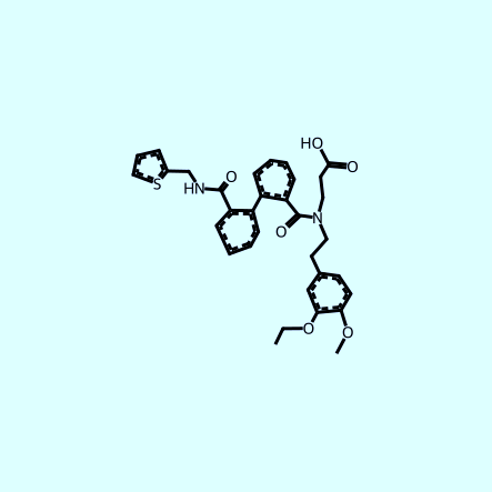 CCOc1cc(CCN(CCC(=O)O)C(=O)c2ccccc2-c2ccccc2C(=O)NCc2cccs2)ccc1OC